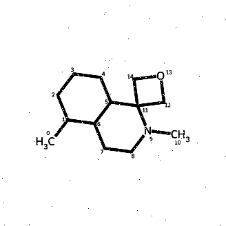 CC1CCCC2C1CCN(C)C21COC1